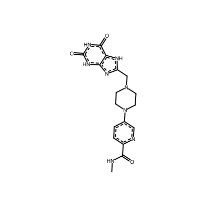 CNC(=O)c1ccc(N2CCN(Cc3nc4[nH]c(=O)[nH]c(=O)c4[nH]3)CC2)cn1